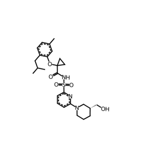 Cc1ccc(CC(C)C)c(OC2(C(=O)NS(=O)(=O)c3cccc(N4CCC[C@@H](CO)C4)n3)CC2)c1